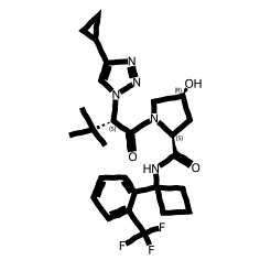 CC(C)(C)[C@@H](C(=O)N1C[C@H](O)C[C@H]1C(=O)NC1(c2ccccc2C(F)(F)F)CCC1)n1cc(C2CC2)nn1